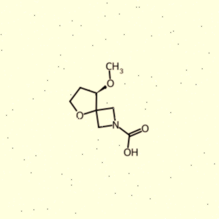 CO[C@@H]1CCOC12CN(C(=O)O)C2